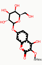 CCCCCCOc1c(O)c2ccc(OC3O[C@H](CO)[C@H](O)[C@H](O)[C@H]3O)cc2oc1=O